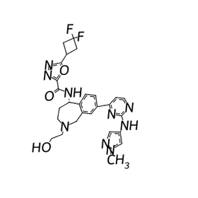 Cn1cc(Nc2nccc(-c3ccc4c(c3)CN(CCO)CC[C@@H]4NC(=O)c3nnc(C4CC(F)(F)C4)o3)n2)cn1